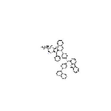 C=C/C=C\c1c(-c2ccccc2)c2c(-c3ccc(N(c4ccc(-c5cccc6ccccc56)cc4)c4cccc5c4sc4ccccc45)cc3)cc3ccccc3n2c1C